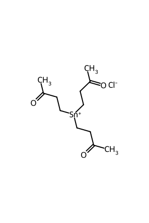 CC(=O)C[CH2][Sn+]([CH2]CC(C)=O)[CH2]CC(C)=O.[Cl-]